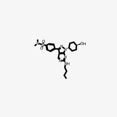 CCCCNc1ncc2c(-c3ccc(S(=O)(=O)N(C)C)cc3)nn([C@H]3CC[C@H](O)CC3)c2n1